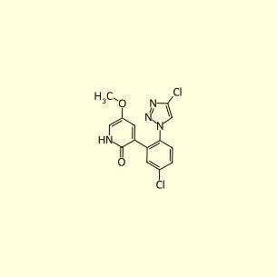 COc1c[nH]c(=O)c(-c2cc(Cl)ccc2-n2cc(Cl)nn2)c1